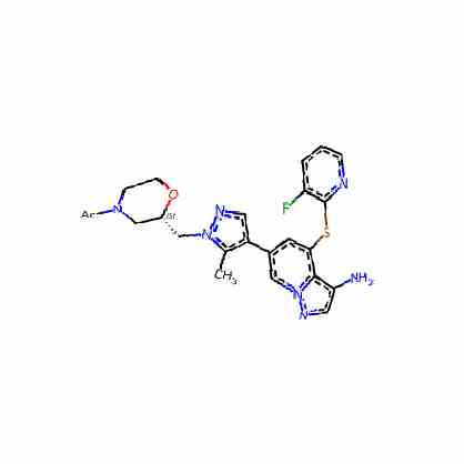 CC(=O)N1CCO[C@H](Cn2ncc(-c3cc(Sc4ncccc4F)c4c(N)cnn4c3)c2C)C1